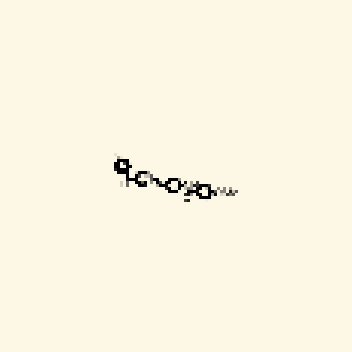 COC1CCC(C(=O)NC2CCC(CCN3CCC(C(=O)c4ccc(F)cc4)CC3)CC2)CC1